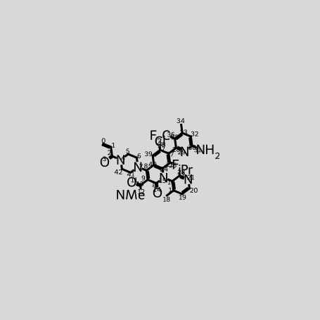 C=CC(=O)N1CCN(c2c(C(=O)NC)c(=O)n(-c3c(C)ccnc3C(C)C)c3c(F)c(-c4nc(N)cc(C)c4C(F)(F)F)c(Cl)cc23)CC1